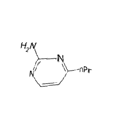 CCCc1ccnc(N)n1